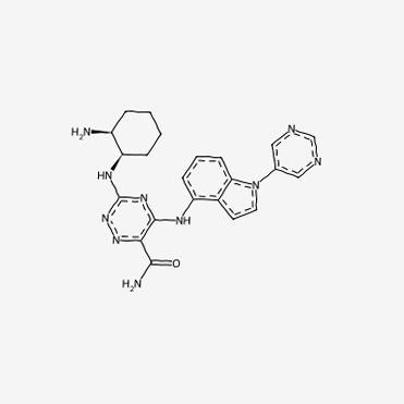 NC(=O)c1nnc(N[C@@H]2CCCC[C@@H]2N)nc1Nc1cccc2c1ccn2-c1cncnc1